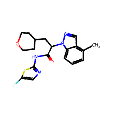 Cc1cccc2c1cnn2C(CC1CCOCC1)C(=O)Nc1ncc(F)s1